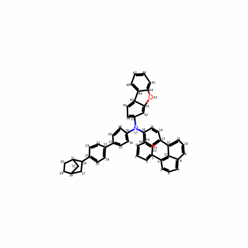 c1ccc(-c2cccc3cccc(-c4ccc(N(c5ccc(-c6ccc(C7CC8CCC7C8)cc6)cc5)c5ccc6c(c5)oc5ccccc56)cc4)c23)cc1